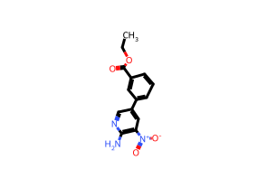 CCOC(=O)c1cccc(-c2cnc(N)c([N+](=O)[O-])c2)c1